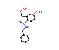 CCOc1ccc(N(CC)NCc2ccccc2)c(CC(C)O)c1